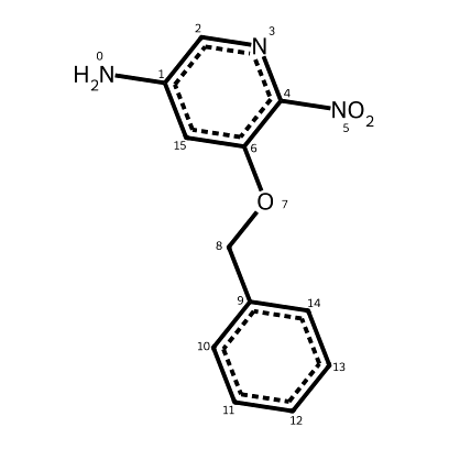 Nc1cnc([N+](=O)[O-])c(OCc2ccccc2)c1